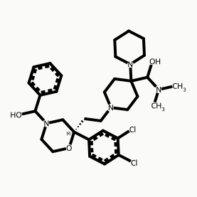 CN(C)C(O)C1(N2CCCCC2)CCN(CC[C@@]2(c3ccc(Cl)c(Cl)c3)CN(C(O)c3ccccc3)CCO2)CC1